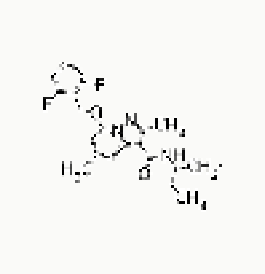 [CH2]C(CC)NC(=O)c1c(C)nn2c(OCc3c(F)cccc3F)cc(C)cc12